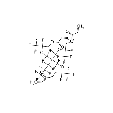 C=CC(=O)OCC(F)(OC(F)(F)C(C(F)(F)OC(F)(COC(=O)C=C)C(F)(F)F)(C(F)(F)OC(F)(COC(=O)C=C)C(F)(F)F)C(F)(F)C(F)(F)C(F)(F)F)C(F)(F)F